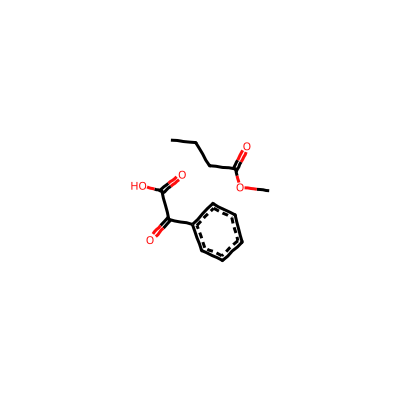 CCCC(=O)OC.O=C(O)C(=O)c1ccccc1